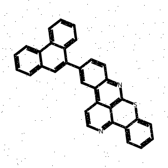 c1ccc2c(c1)Sc1nc3ccc(-c4cc5ccccc5c5ccccc45)cc3c3ccnc-2c13